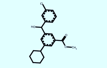 COC(=O)c1cc(C2CCCCC2)cc(C(O)c2cccc(Cl)c2)c1